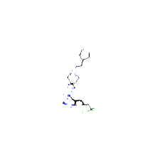 FC(F)(F)Cc1cc2c(N3CC4(CCN(CCC5CCOCC5)CC4)C3)ncnc2s1